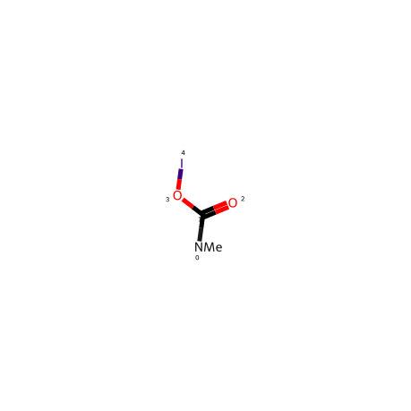 CNC(=O)OI